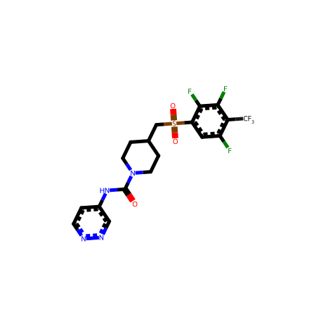 O=C(Nc1ccnnc1)N1CCC(CS(=O)(=O)c2cc(F)c(C(F)(F)F)c(F)c2F)CC1